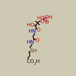 CC(C)(COP(=O)(O)O)[C@@H](O)C(=O)NCCC(=O)NCC[SH]=CCCC(=O)O